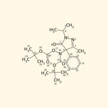 CC1=NN(C(C)C)C(=O)C1(c1ccccc1)N(OC(=O)OC(C)(C)C)C(=O)OC(C)(C)C